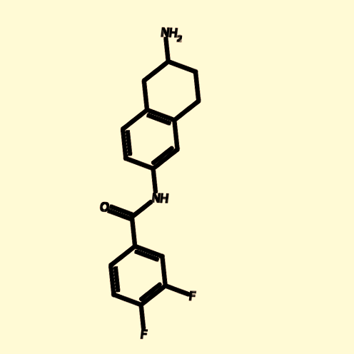 NC1CCc2cc(NC(=O)c3ccc(F)c(F)c3)ccc2C1